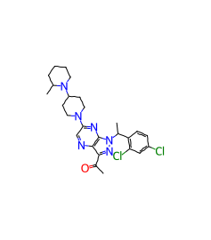 CC(=O)c1nn(C(C)c2ccc(Cl)cc2Cl)c2nc(N3CCC(N4CCCCC4C)CC3)cnc12